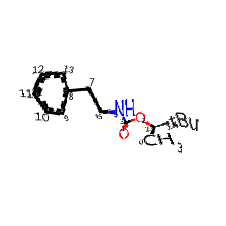 C[C@@H](OC(=O)NCCc1ccccc1)C(C)(C)C